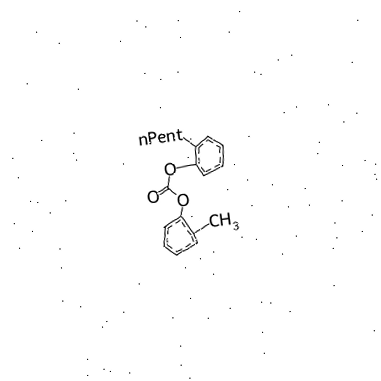 CCCCCc1ccccc1OC(=O)Oc1ccccc1C